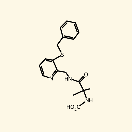 CC(C)(NC(=O)O)C(=O)NCc1ncccc1SCc1ccccc1